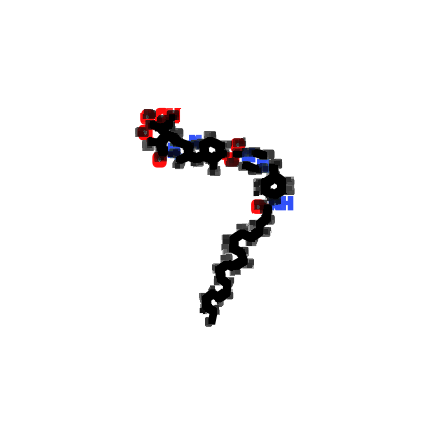 CC/C=C\C/C=C\C/C=C\C/C=C\C/C=C\C/C=C\CCC(=O)Nc1ccc(CN2CCN(C(=O)Oc3ccc4nc5c(cc4c3C)Cn3c-5cc4c(c3=O)COC(=O)[C@]4(O)CC)CC2)cc1